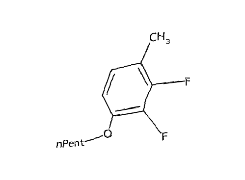 CCCCCOc1ccc(C)c(F)c1F